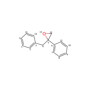 c1ccc(CC2(c3ccccc3)CO2)cc1